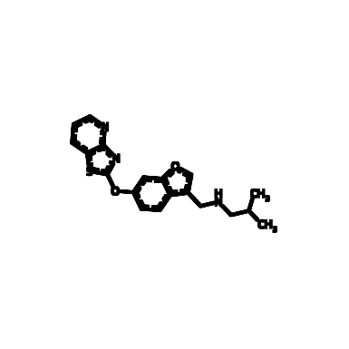 CC(C)CNCc1coc2cc(Oc3nc4ncccc4s3)ccc12